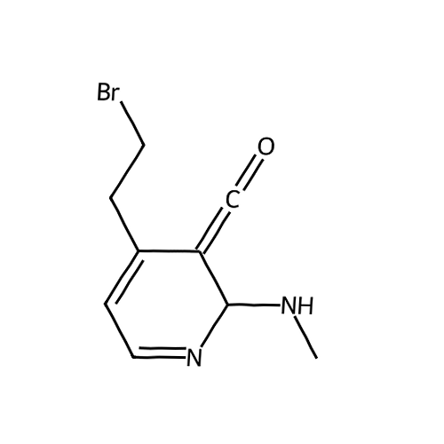 CNC1N=CC=C(CCBr)C1=C=O